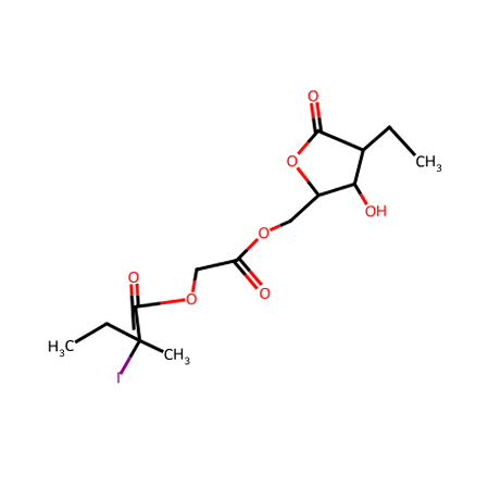 CCC1C(=O)OC(COC(=O)COC(=O)C(C)(I)CC)C1O